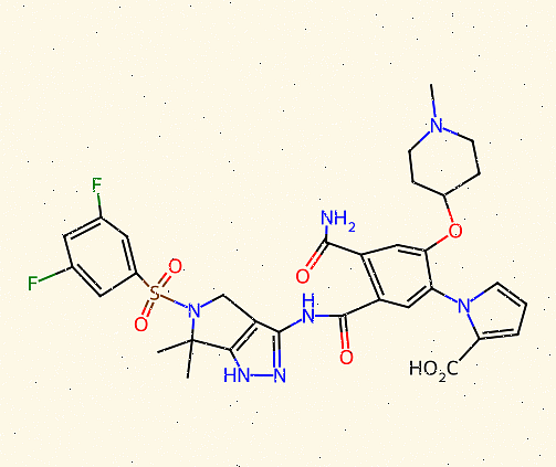 CN1CCC(Oc2cc(C(N)=O)c(C(=O)Nc3n[nH]c4c3CN(S(=O)(=O)c3cc(F)cc(F)c3)C4(C)C)cc2-n2cccc2C(=O)O)CC1